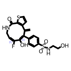 C=C1/C(c2ccc(S(=O)(=O)NCCO)cc2)=C(O)\C(F)=C/CNC(=O)c2sccc21